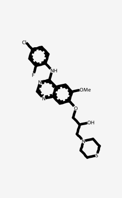 COc1cc2c(Nc3ccc(Cl)cc3F)ncnc2cc1OCC(O)CN1CCSCC1